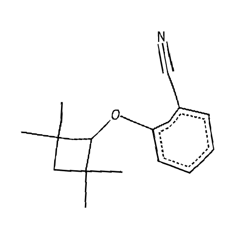 CC1(C)CC(C)(C)C1Oc1ccccc1C#N